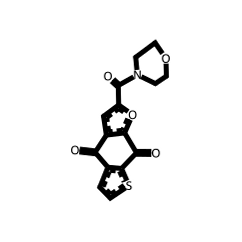 O=C1c2cc(C(=O)N3CCOCC3)oc2C(=O)c2sccc21